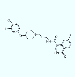 O=C(NCCCN1CCC(Oc2ccc(Cl)c(Cl)c2)CC1)c1c[nH]c(=O)c2ccc(F)cc12